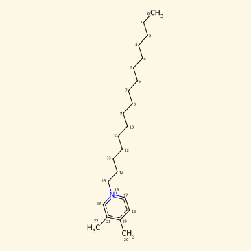 CCCCCCCCCCCCCCCC[n+]1ccc(C)c(C)c1